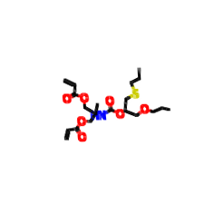 C=CC(=O)OCC(C)(COC(=O)C=C)NC(=O)OC(COCCC)CSCCC